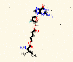 CC[C@H](C)[C@H](N)C(=O)OCCCCC(=O)OC[C@H]1O[C@@H](n2cnc3c(=O)[nH]c(N)nc32)C[C@@H]1F